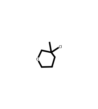 CC1(Cl)C[CH]COC1